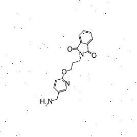 NCc1ccc(OCCCN2C(=O)c3ccccc3C2=O)nc1